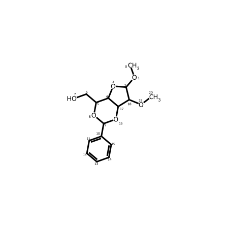 COC1OC2C(CO)OC(c3ccccc3)OC2C1OC